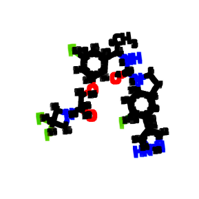 C[C@@H](NC(=O)N1CCc2cc(-c3cn[nH]c3)c(F)cc21)c1cc(F)cc(OCC(=O)N2CC(F)(F)C2)c1